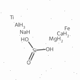 O=[Si](O)O.[AlH3].[CaH2].[Fe].[MgH2].[NaH].[Ti]